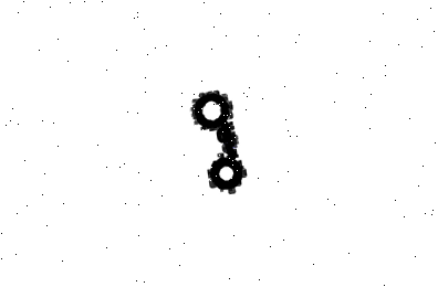 C(/Cc1ccccccccc1)=N\OCC1CCCCCCCCCC1